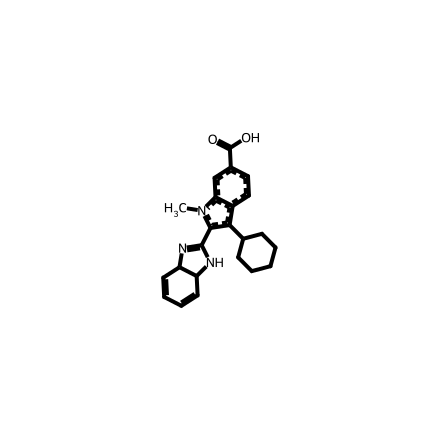 Cn1c(C2=NC3C=CC=CC3N2)c(C2CCCCC2)c2ccc(C(=O)O)cc21